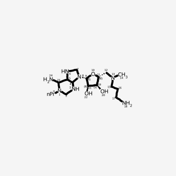 CCCN1CNC2C(NCN2[C@@H]2O[C@H](CN(C)CCCN)[C@@H](O)[C@H]2O)C1N